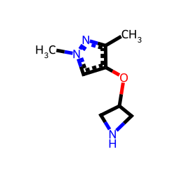 Cc1nn(C)cc1OC1CNC1